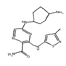 Cc1cc(Nc2nc(NC3CCC(N)CC3)cnc2C(N)=O)sn1